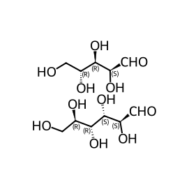 O=C[C@@H](O)[C@@H](O)[C@H](O)[C@H](O)CO.O=C[C@@H](O)[C@H](O)[C@H](O)CO